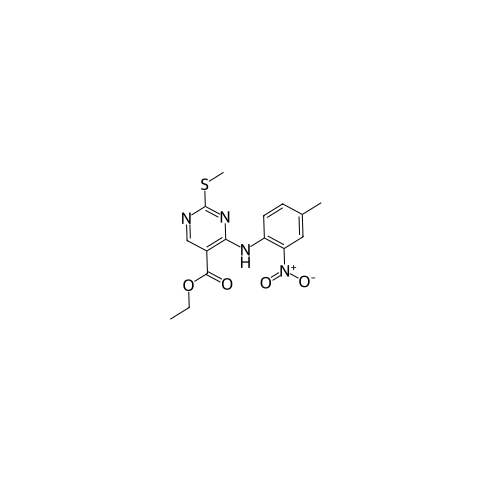 CCOC(=O)c1cnc(SC)nc1Nc1ccc(C)cc1[N+](=O)[O-]